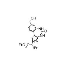 CCOC(=O)C(C(C)C)n1cc2c(n1)NC(=O)Nc1cc(CO)ccc1-2